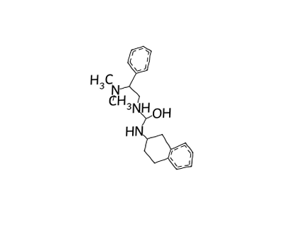 CN(C)C(CNC(O)NC1CCc2ccccc2C1)c1ccccc1